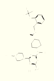 CNc1nc(N2CCN(C)CC2)nc(N(C)[C@H]2CC[C@@H](C(=O)NCc3ccccc3OC(F)(F)F)CC2)n1